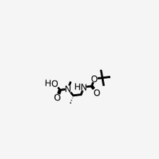 C[C@@H](CNC(=O)OC(C)(C)C)N(C)C(=O)O